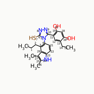 CCCc1c(-n2c(S)nnc2-c2cc(CC)c(O)cc2O)ccc2[nH]c(C)c(C)c12